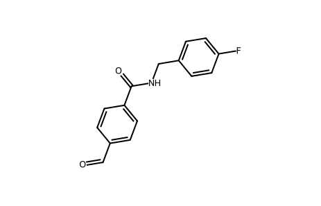 O=Cc1ccc(C(=O)NCc2ccc(F)cc2)cc1